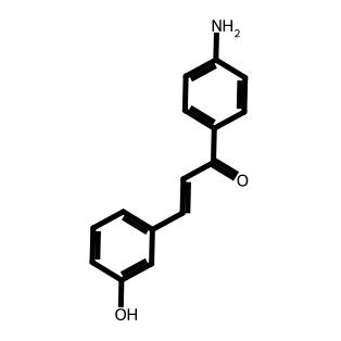 Nc1ccc(C(=O)/C=C/c2cccc(O)c2)cc1